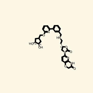 O=C1COc2ccc(N3C[C@H](CCNCc4cccc(-c5cccc(OCC6C[C@@H](O)[C@@H](O)C6)n5)c4)OC3=O)nc2N1